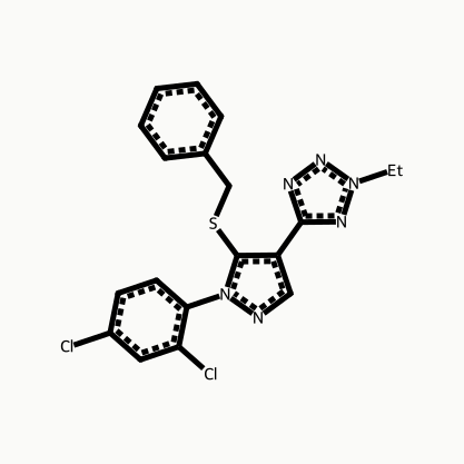 CCn1nnc(-c2cnn(-c3ccc(Cl)cc3Cl)c2SCc2ccccc2)n1